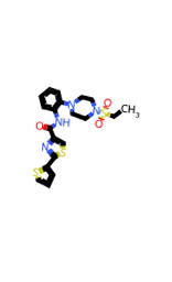 CCS(=O)(=O)N1CCN(c2ccccc2NC(=O)c2csc(-c3cccs3)n2)CC1